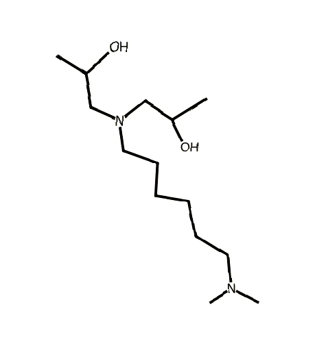 CC(O)CN(CCCCCCN(C)C)CC(C)O